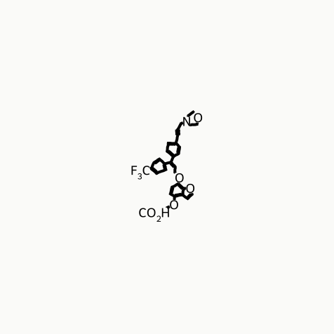 O=C(O)COc1ccc(OCC=C(c2ccc(C#CCN3CCOCC3)cc2)c2ccc(C(F)(F)F)cc2)c2occc12